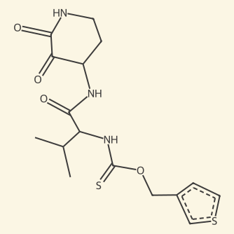 CC(C)C(NC(=S)OCc1ccsc1)C(=O)NC1CCNC(=O)C1=O